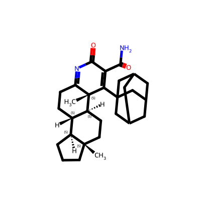 C[C@@]12CCC[C@H]1[C@@H]1CCC3=NC(=O)C(C(N)=O)=C(C45CC6CC(CC(C6)C4)C5)[C@]3(C)[C@H]1CC2